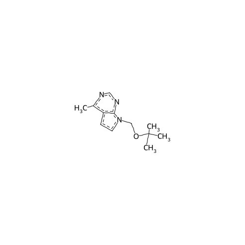 Cc1ncnc2c1ccn2COC(C)(C)C